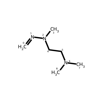 C=NN(C)CCN(C)C